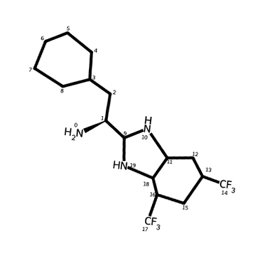 N[C@@H](CC1CCCCC1)C1NC2CC(C(F)(F)F)CC(C(F)(F)F)C2N1